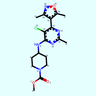 COC(=O)N1CCC(Nc2nc(C)nc(-c3c(C)noc3C)c2Cl)CC1